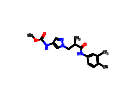 C[C@H](Cn1cc(NC(=O)OC(C)(C)C)cn1)C(=O)Nc1ccc(C#N)c(C(F)(F)F)c1